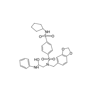 O=S(=O)(NC1CCCC1)c1ccc(S(=O)(=O)N(Cc2ccc3c(c2)OCO3)CC(O)Nc2ccccc2)cc1